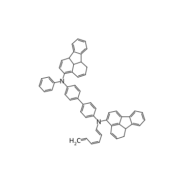 C=C/C=C\C=C\N(c1ccc(-c2ccc(N(C3=C4C=CCC5c6ccccc6C(C=C3)C45)c3ccccc3)cc2)cc1)c1ccc2c3c1C=CCC3c1ccccc1-2